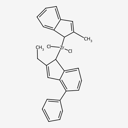 CCC1=Cc2c(-c3ccccc3)cccc2[CH]1[Zr]([Cl])([Cl])[CH]1C(C)=Cc2ccccc21